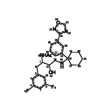 CC(=O)NC(Cc1cc(F)cc(F)c1)C(O)CNC1(c2cccc(-c3ncon3)c2)CCCCC1